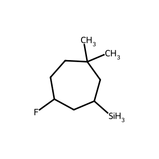 CC1(C)CCC(F)CC([SiH3])C1